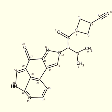 CC(C)C(C(=O)N1CC(C#N)C1)n1cc2c(n1)C(=O)c1c[nH]c3nccc-2c13